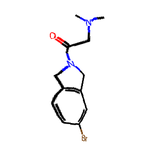 CN(C)CC(=O)N1Cc2ccc(Br)cc2C1